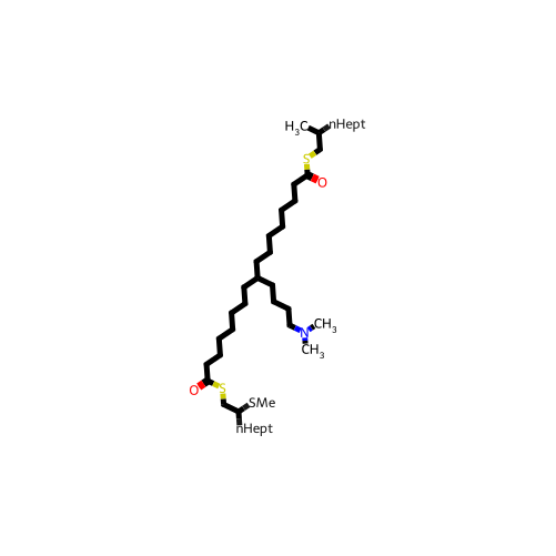 CCCCCCCC(C)CSC(=O)CCCCCCCC(CCCCCCCC(=O)SCC(CCCCCCC)SC)CCCCN(C)C